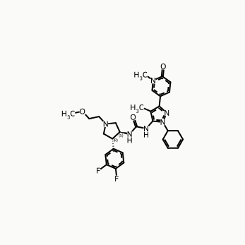 COCCN1C[C@@H](NC(=O)Nc2c(C)c(-c3ccc(=O)n(C)c3)nn2C2C=CC=CC2)[C@H](c2ccc(F)c(F)c2)C1